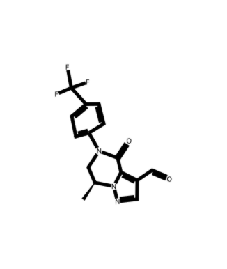 C[C@H]1CN(c2ccc(C(F)(F)F)cc2)C(=O)c2c(C=O)cnn21